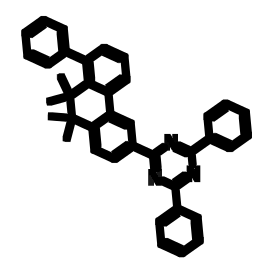 CC1(C)c2ccc(-c3nc(-c4ccccc4)nc(-c4ccccc4)n3)cc2-c2cccc(-c3ccccc3)c2C1(C)C